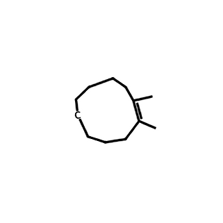 CC1=C(C)CCCCCCCC1